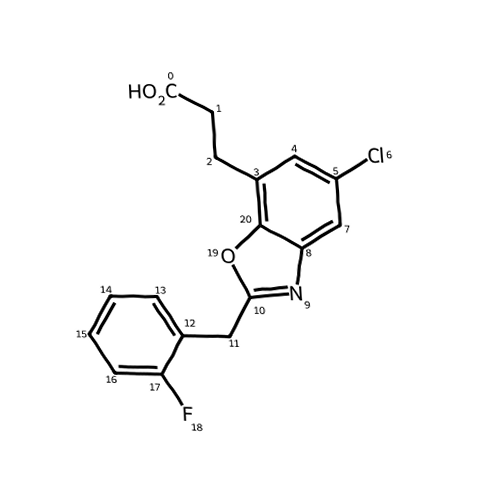 O=C(O)CCc1cc(Cl)cc2nc(Cc3ccccc3F)oc12